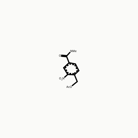 CNC(=O)c1ccc(COC(C)=O)c([N+](=O)[O-])c1